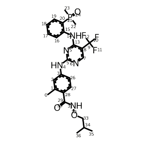 Cc1cc(Nc2ncc(C(F)(F)F)c(Nc3ccccc3P(C)(C)=O)n2)ccc1C(=O)NOCC(C)C